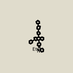 CCc1nc2ccccc2n1-c1ccc(-c2c3ccccc3c(-c3ccc(-c4ccc(-c5ccccc5)cc4)cc3)c3ccc(-c4ccccc4)cc23)cc1